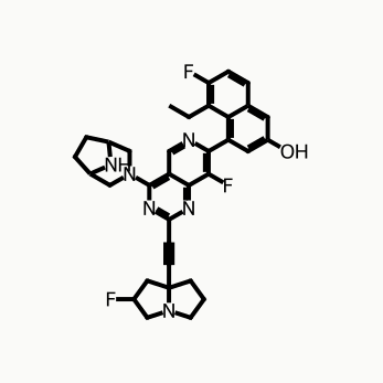 CCc1c(F)ccc2cc(O)cc(-c3ncc4c(N5CC6CCC(C5)N6)nc(C#CC56CCCN5CC(F)C6)nc4c3F)c12